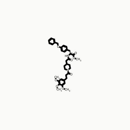 COC(=O)[C@H](Cc1ccc(OCc2ccccc2)cc1)NC(=O)CC1CCN(C(=O)CCc2cc(OC)c(OC)c(OC)c2)CC1